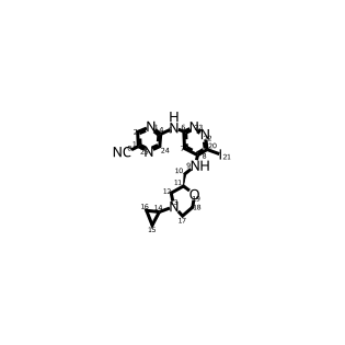 N#Cc1cnc(Nc2cc(NC[C@@H]3CN(C4CC4)CCO3)c(I)nn2)cn1